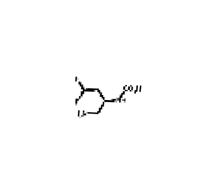 NCC(CC(F)F)NC(=O)O